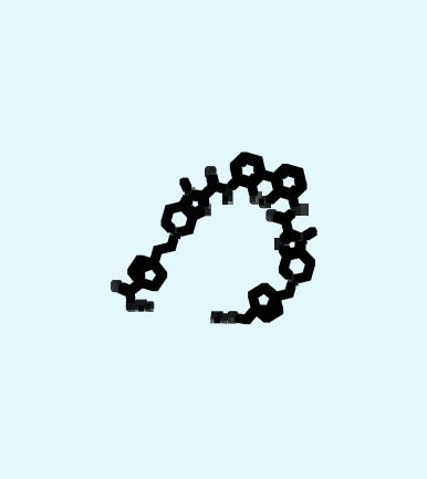 COCC12CCC(CN3CCc4c(nc(C(=O)Nc5cccc(-c6cccc(NC(=O)c7nc8c(n7C)CCN(CCC79CCC(C(=O)OC)(CC7)C9)C8)c6Cl)c5Cl)n4C)C3)(CC1)C2